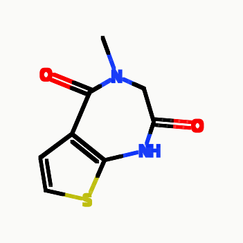 CN1CC(=O)Nc2sccc2C1=O